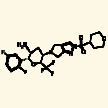 N[C@H]1C[C@@H](N2Cc3cn(S(=O)(=O)C4CCOCC4)nc3C2)[C@@H](C(F)(F)F)O[C@@H]1c1cc(F)ccc1F